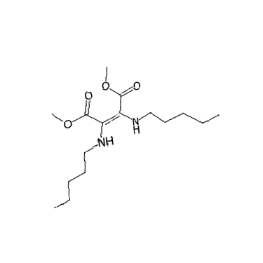 CCCCCNC(C(=O)OC)=C(NCCCCC)C(=O)OC